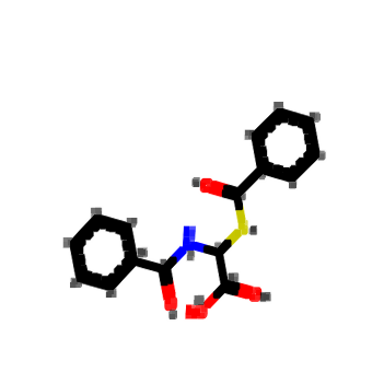 O=C(NC(SC(=O)c1ccccc1)C(=O)O)c1ccccc1